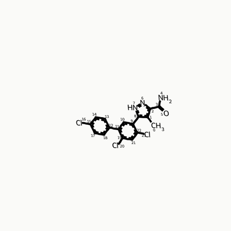 Cc1c(C(N)=O)n[nH]c1-c1cc(-c2ccc(Cl)cc2)c(Cl)cc1Cl